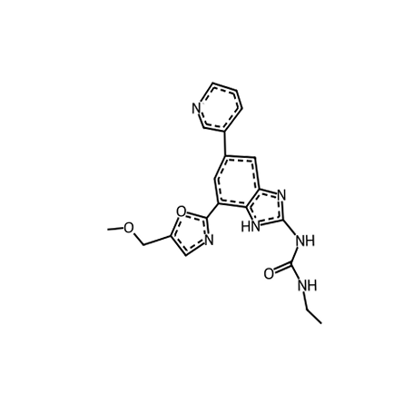 CCNC(=O)Nc1nc2cc(-c3cccnc3)cc(-c3ncc(COC)o3)c2[nH]1